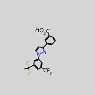 CC(F)(F)c1cc(-n2ccc(-c3cccc(C(=O)O)c3)n2)cc(C(F)(F)F)c1